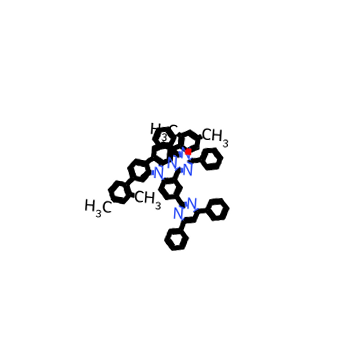 Cc1ccc(-c2ccc3c4ccc(-c5ccc(C)cc5C)cc4n(-c4ccc(-c5nc(-c6ccccc6)cc(-c6ccccc6)n5)cc4-c4nc(-c5ccccc5)nc(-c5ccccc5)n4)c3c2)c(C)c1